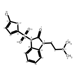 CN(C)CCn1c(=O)n(S(=O)(=O)c2ccc(Cl)s2)c2ccccc21